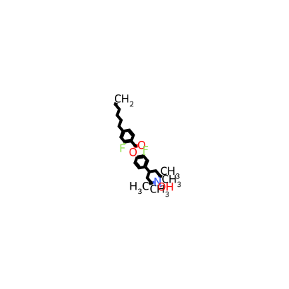 C=CCCCCc1ccc(C(=O)Oc2ccc(C3CC(C)(C)N(O)C(C)(C)C3)cc2F)c(F)c1